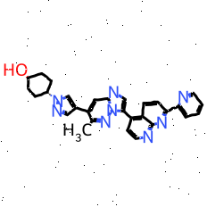 Cc1nn2c(-c3ccnc4nc(-c5ccccn5)ccc34)cnc2cc1-c1cnn([C@H]2CC[C@H](O)CC2)c1